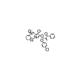 C=C(C(=O)c1ccccc1)C(Oc1ccc(Cl)cc1)Oc1cn2c(c1OC)C=[N+]([O-])C1=CCCC[C@H]1C2